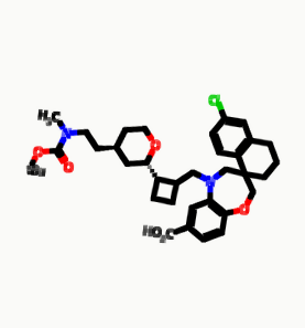 CN(CC[C@H]1CCO[C@H](C2CCC2CN2CC3(CCCc4cc(Cl)ccc43)COc3ccc(C(=O)O)cc32)C1)C(=O)OC(C)(C)C